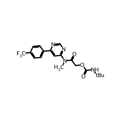 CN(C(=O)COC(=O)NC(C)(C)C)c1cc(-c2ccc(C(F)(F)F)cc2)ncn1